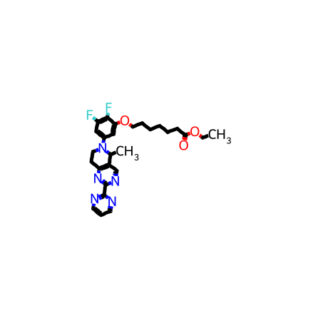 CCOC(=O)CCCCCCOc1cc(N2CCc3nc(-c4ncccn4)ncc3C2C)cc(F)c1F